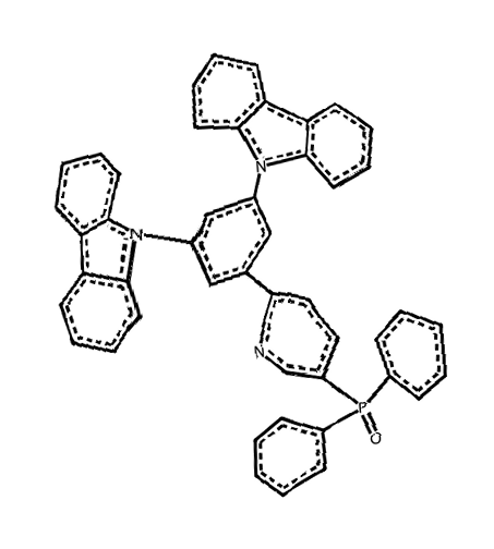 O=P(c1ccccc1)(c1ccccc1)c1ccc(-c2cc(-n3c4ccccc4c4ccccc43)cc(-n3c4ccccc4c4ccccc43)c2)nc1